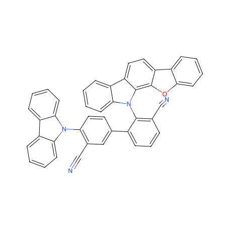 N#Cc1cc(-c2cccc(C#N)c2-n2c3ccccc3c3ccc4c5ccccc5oc4c32)ccc1-n1c2ccccc2c2ccccc21